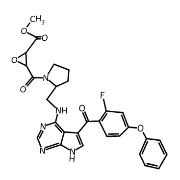 COC(=O)C1OC1C(=O)N1CCCC1CNc1ncnc2[nH]cc(C(=O)c3ccc(Oc4ccccc4)cc3F)c12